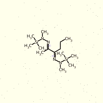 CCCC(=N\N(C)[Si](C)(C)C)/C(C)=N/N(C)[Si](C)(C)C